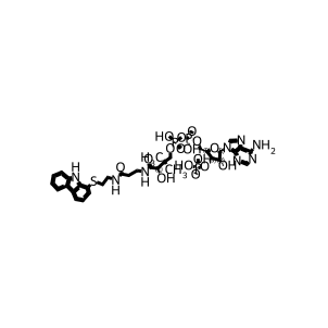 CC(C)(COP(=O)(O)OP(=O)(O)OC[C@H]1O[C@@H](n2cnc3c(N)ncnc32)[C@H](O)[C@@H]1OP(=O)(O)O)[C@@H](O)C(=O)NCCC(=O)NCCSc1cccc2c1[nH]c1ccccc12